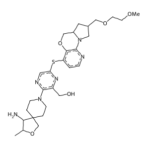 COCCOCC1CC2COc3c(Sc4cnc(N5CCC6(CC5)COC(C)C6N)c(CO)n4)ccnc3N2C1